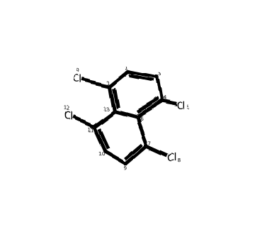 Clc1ccc(Cl)c2c(Cl)ccc(Cl)c12